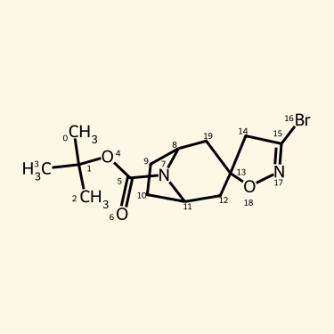 CC(C)(C)OC(=O)N1C2CCC1CC1(CC(Br)=NO1)C2